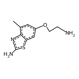 Cc1cc(OCCN)cc2sc(N)nc12